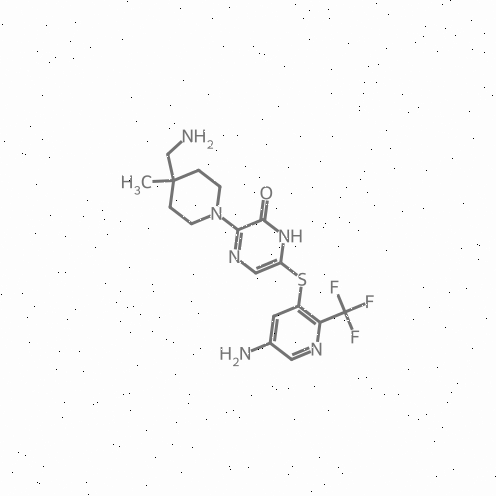 CC1(CN)CCN(c2ncc(Sc3cc(N)cnc3C(F)(F)F)[nH]c2=O)CC1